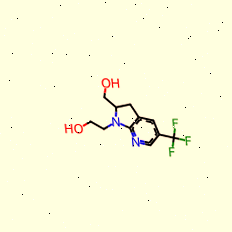 OCCN1c2ncc(C(F)(F)F)cc2CC1CO